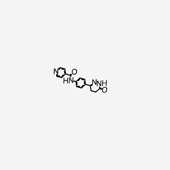 O=C1CCC(c2ccc(NC(=O)c3ccncc3)cc2)=NN1